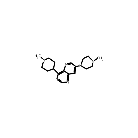 CN1CCC(c2ncnc3cc(N4CCN(C)CC4)cnc23)CC1